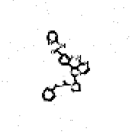 Nc1nccn2c(C3CCCN3C(=O)OCc3ccccc3)nc(-c3ccc(C(=O)Nc4ccccn4)cc3)c12